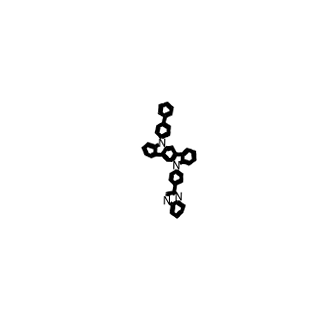 c1ccc(-c2ccc(-n3c4ccccc4c4cc5c(cc43)c3ccccc3n5-c3ccc(-c4cnc5ccccc5n4)cc3)cc2)cc1